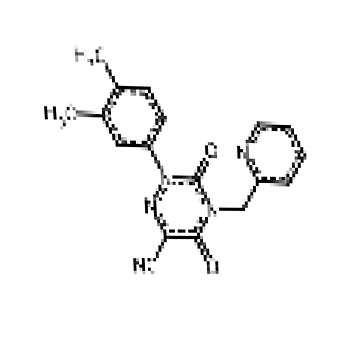 Cc1ccc(-n2nc(C#N)c(=O)n(Cc3ccccn3)c2=O)cc1C